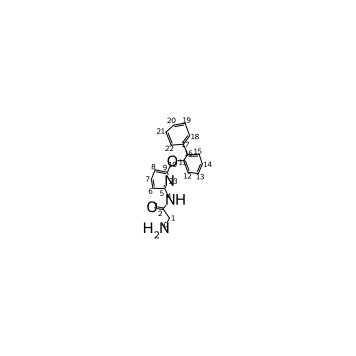 NCC(=O)Nc1cccc(Oc2ccccc2-c2ccccc2)n1